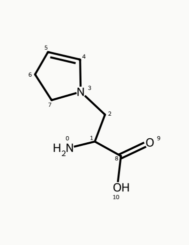 NC(CN1C=CCC1)C(=O)O